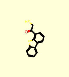 O=C(CS)c1cccc2c1sc1ccccc12